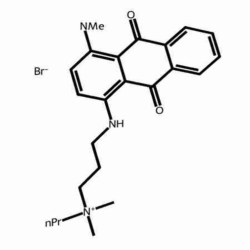 CCC[N+](C)(C)CCCNc1ccc(NC)c2c1C(=O)c1ccccc1C2=O.[Br-]